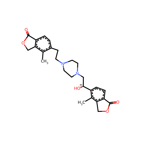 Cc1c(CCN2CCN(C[C@H](O)c3ccc4c(c3C)COC4=O)CC2)ccc2c1COC2=O